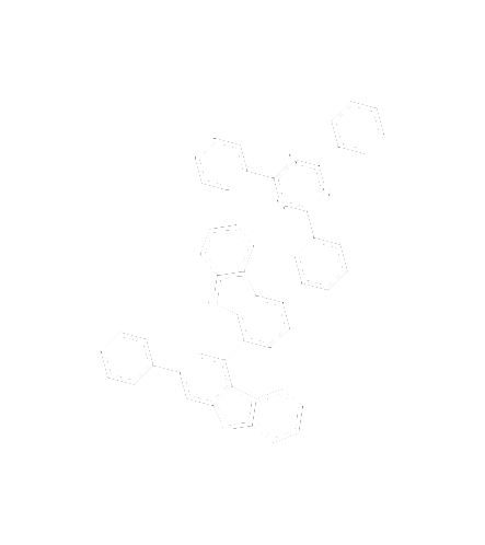 c1ccc(-c2cc(-c3ccc(-c4cccc(-c5nc(-c6ccccc6)nc(-c6ccccc6)n5)c4)c4c3oc3ccccc34)c3c(c2)sc2ccccc23)cc1